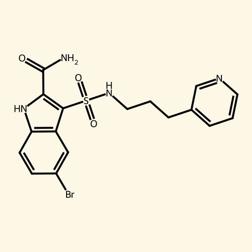 NC(=O)c1[nH]c2ccc(Br)cc2c1S(=O)(=O)NCCCc1cccnc1